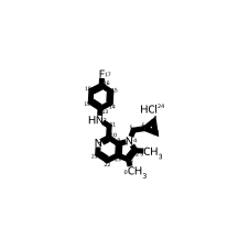 Cc1c(C)n(CC2CC2)c2c(CNc3ccc(F)cc3)nccc12.Cl